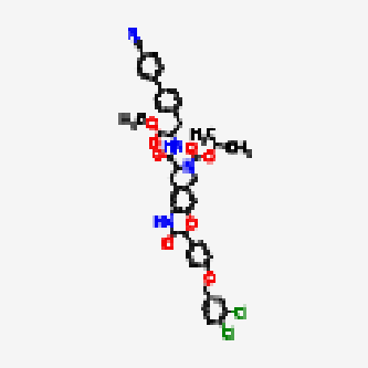 COC(=O)C(Cc1ccc(-c2ccc(C#N)cc2)cc1)NC(=O)C1Cc2cc3c(cc2CN1C(=O)OC(C)C)OC(c1ccc(OCc2ccc(Cl)c(Cl)c2)cc1)C(=O)N3